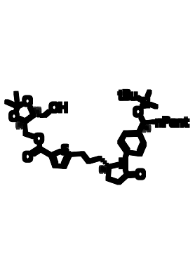 CCCCC[C@H](O[Si](C)(C)C(C)(C)C)c1ccc(N2C(=O)CC[C@@H]2CCCc2ccc(C(=O)OC[C@H]3OC(C)(C)O[C@@H]3CO)s2)cc1